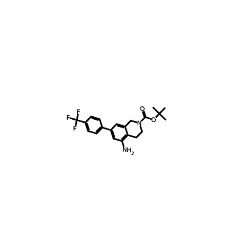 CC(C)(C)OC(=O)N1CCc2c(N)cc(-c3ccc(C(F)(F)F)cc3)cc2C1